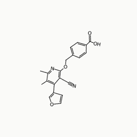 Cc1nc(OCc2ccc(C(=O)O)cc2)c(C#N)c(-c2ccoc2)c1C